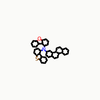 c1ccc2c(c1)ccc1c3cc(N(c4cccc5oc6ccccc6c45)c4cccc5sc6ccccc6c45)ccc3ccc21